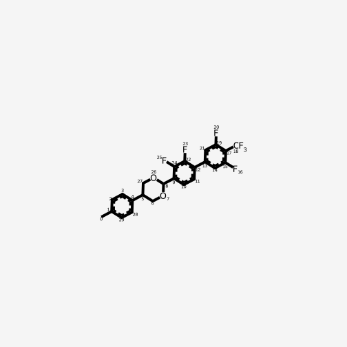 Cc1ccc(C2COC(c3ccc(-c4cc(F)c(C(F)(F)F)c(F)c4)c(F)c3F)OC2)cc1